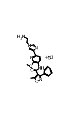 COc1nc(-c2cn(CCN)cn2)ccc1NC(=O)c1c(-c2ccccc2)noc1C.Cl.Cl